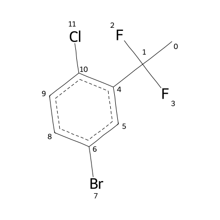 CC(F)(F)c1cc(Br)ccc1Cl